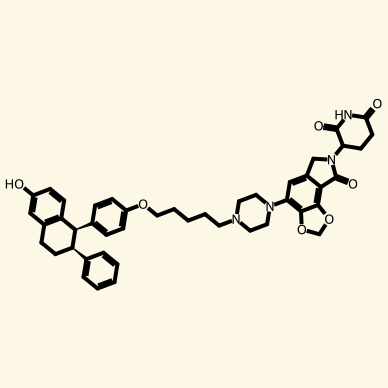 O=C1CCC(N2Cc3cc(N4CCN(CCCCCOc5ccc([C@@H]6c7ccc(O)cc7CC[C@@H]6c6ccccc6)cc5)CC4)c4c(c3C2=O)OCO4)C(=O)N1